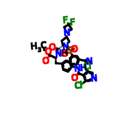 CCOC(=O)[C@H](Cc1ccc(NC(=O)c2c(Cl)cncc2Cl)cc1)NC(=O)[C@@H]1C[C@@H](N2CC(F)(F)C2)CN1S(=O)(=O)c1cccc(C#N)c1